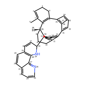 CC1=CCCC2=C1[C@H]1CCCc3c(ccc(C4C=Cc5ccc6cccnc6c5N4)c31)-c1cccc2c1C